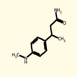 CNc1ccc(C(C)CC(N)=O)cc1